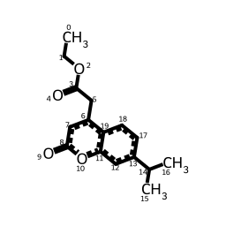 CCOC(=O)Cc1cc(=O)oc2cc(C(C)C)ccc12